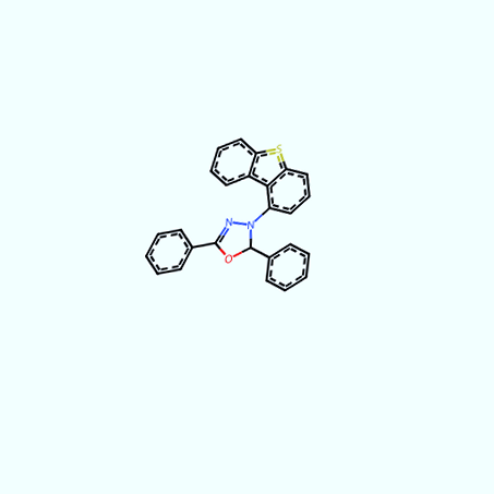 c1ccc(C2=NN(c3cccc4sc5ccccc5c34)C(c3ccccc3)O2)cc1